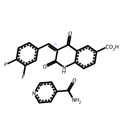 NC(=O)c1ccncc1.O=C1Nc2ccc(C(=O)O)cc2C(=O)/C1=C/c1ccc(F)c(F)c1